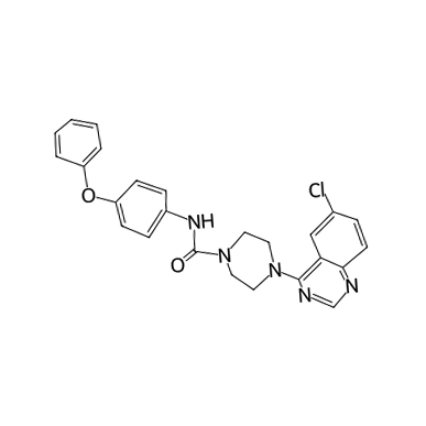 O=C(Nc1ccc(Oc2ccccc2)cc1)N1CCN(c2ncnc3ccc(Cl)cc23)CC1